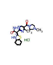 CN1CCN(C(=O)c2cnc(/C(C(N)=O)=C3/Nc4ccccc4S3)nc2C(F)(F)F)CC1.Cl